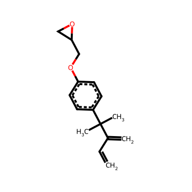 C=CC(=C)C(C)(C)c1ccc(OCC2CO2)cc1